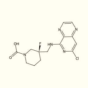 O=C(O)N1CCC[C@@](F)(CNc2nc(Cl)cc3nccnc23)C1